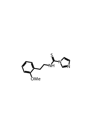 COc1ccccc1CCNC(=S)n1ccnc1